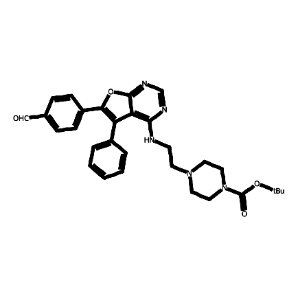 CC(C)(C)OC(=O)N1CCN(CCNc2ncnc3oc(-c4ccc(C=O)cc4)c(-c4ccccc4)c23)CC1